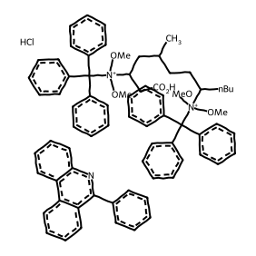 CCCCC(CCC(C)CC(CC(=O)O)[N+](OC)(OC)C(c1ccccc1)(c1ccccc1)c1ccccc1)[N+](OC)(OC)C(c1ccccc1)(c1ccccc1)c1ccccc1.Cl.c1ccc(-c2nc3ccccc3c3ccccc23)cc1